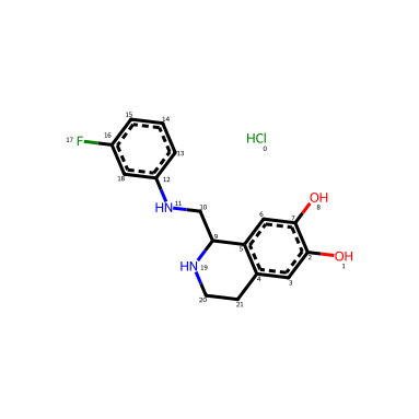 Cl.Oc1cc2c(cc1O)C(CNc1cccc(F)c1)NCC2